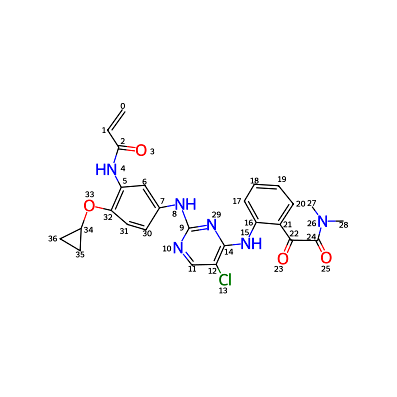 C=CC(=O)Nc1cc(Nc2ncc(Cl)c(Nc3ccccc3C(=O)C(=O)N(C)C)n2)ccc1OC1CC1